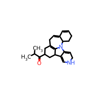 CC(C)C(=O)C1CC2=C3C(C1)C1=CNCC=C1N3C1CCC=CC1=CC2